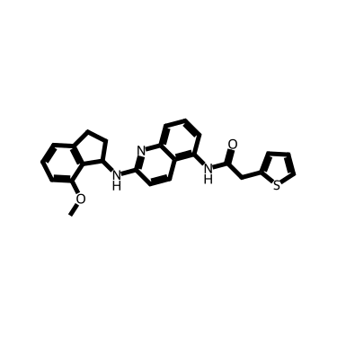 COc1cccc2c1C(Nc1ccc3c(NC(=O)Cc4cccs4)cccc3n1)CC2